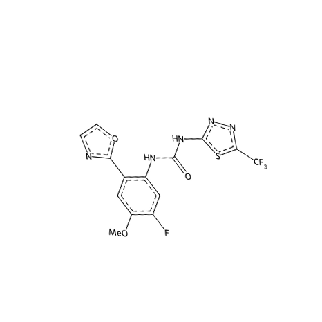 COc1cc(-c2ncco2)c(NC(=O)Nc2nnc(C(F)(F)F)s2)cc1F